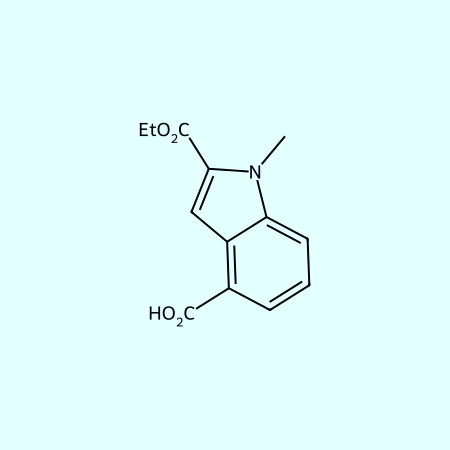 CCOC(=O)c1cc2c(C(=O)O)cccc2n1C